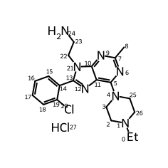 CCN1CCN(c2nc(C)nc3c2nc(-c2ccccc2Cl)n3CCN)CC1.Cl